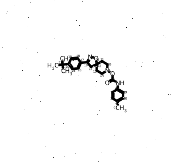 Cc1ccc(NC(=O)ON2CCC3(CC2)CC(c2ccc(C(C)(C)C)cc2)=NO3)cc1